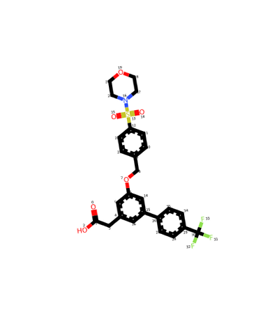 O=C(O)Cc1cc(OCc2ccc(S(=O)(=O)N3CCOCC3)cc2)cc(-c2ccc(C(F)(F)F)cc2)c1